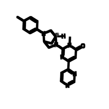 Cc1ccc(N2C[C@@H]3CC2CN3c2nc(-c3ccncn3)cc(=O)n2C)cc1